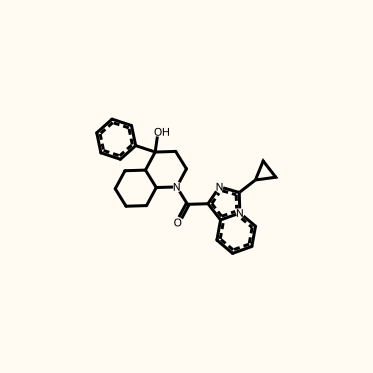 O=C(c1nc(C2CC2)n2ccccc12)N1CCC(O)(c2ccccc2)C2CCCCC21